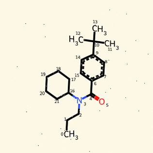 CCCN(C(=O)c1ccc(C(C)(C)C)cc1)C1CCCCC1